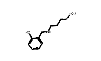 CCCCCCCCOCCCNCc1ccccc1O